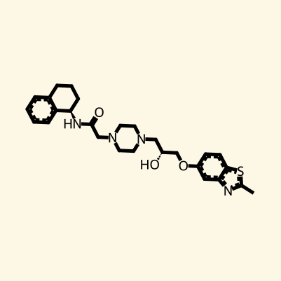 Cc1nc2cc(OC[C@H](O)CN3CCN(CC(=O)N[C@@H]4CCCc5ccccc54)CC3)ccc2s1